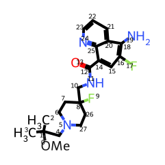 COC(C)(C)CN1CCC(F)(CNC(=O)c2cc(F)c(N)c3cccnc23)CC1